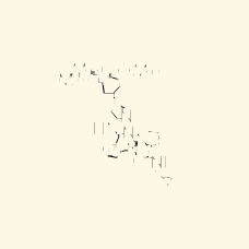 COc1cc(-n2cnc(Nc3nc(N4CCC[C@H]4C(=O)NCC4CC4)nc4ccoc34)c2)cc(OC)c1OC